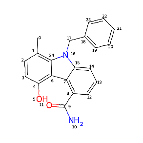 Cc1ccc(O)c2c3c(C(N)=O)cccc3n(Cc3ccccc3)c12